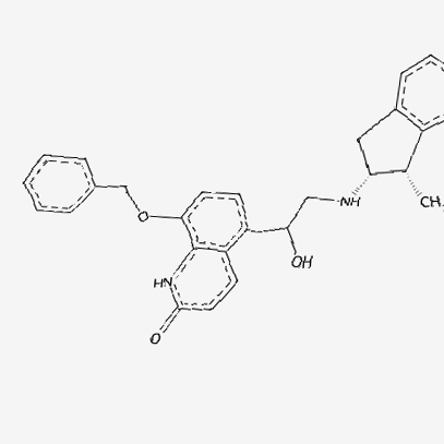 C[C@H]1c2ccccc2C[C@H]1NCC(O)c1ccc(OCc2ccccc2)c2[nH]c(=O)ccc12